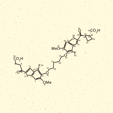 COc1cc2sc(C(=O)CCC(=O)O)cc2c(F)c1OCCCCCOc1c(OC)cc2sc(C(=O)[C@@H]3CC[C@H]3C(=O)O)cc2c1F